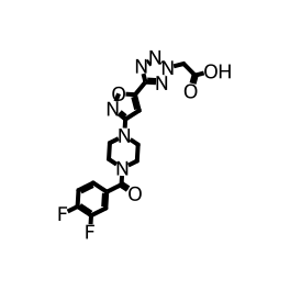 O=C(O)Cn1nnc(-c2cc(N3CCN(C(=O)c4ccc(F)c(F)c4)CC3)no2)n1